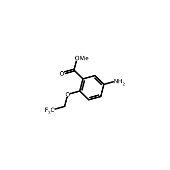 COC(=O)c1cc(N)ccc1OCC(F)(F)F